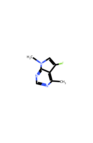 Cc1ncnc2c1c(F)cn2C